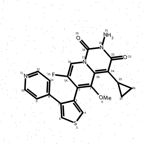 COc1c(-c2cscc2-c2ccncc2)c(F)cn2c(=O)n(N)c(=O)c(C3CC3)c12